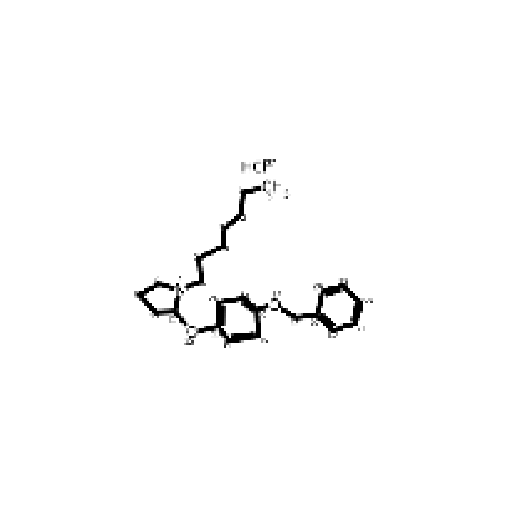 CCCCCCCN1CCCC1Oc1ccc(OCc2ccccc2)cc1.Cl